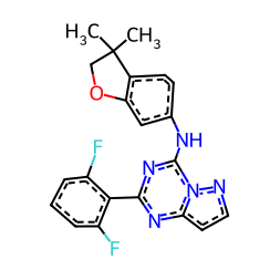 CC1(C)COc2cc(Nc3nc(-c4c(F)cccc4F)nc4ccnn34)ccc21